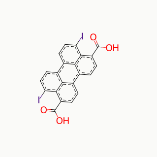 O=C(O)c1ccc2c3ccc(C(=O)O)c4c(I)ccc(c5ccc(I)c1c52)c43